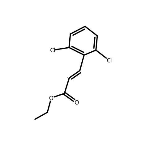 CCOC(=O)[C]=Cc1c(Cl)cccc1Cl